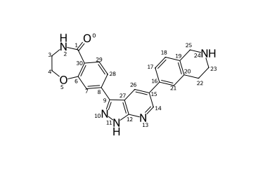 O=C1NCCOc2cc(-c3n[nH]c4ncc(-c5ccc6c(c5)CCNC6)cc34)ccc21